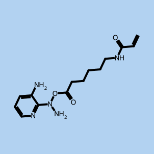 C=CC(=O)NCCCCCC(=O)ON(N)c1ncccc1N